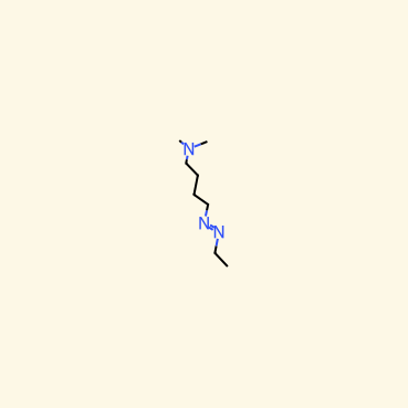 CCN=NCCCCN(C)C